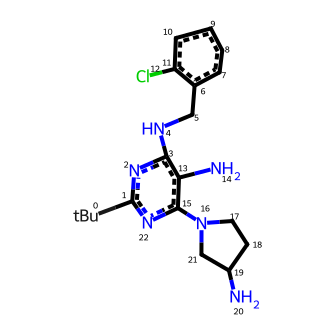 CC(C)(C)c1nc(NCc2ccccc2Cl)c(N)c(N2CCC(N)C2)n1